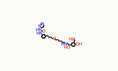 O=C(Nc1cccc(CCCCOCCCCCCNC[C@@H](O)c2ccc(O)c(CO)c2)c1)Nc1ccncn1